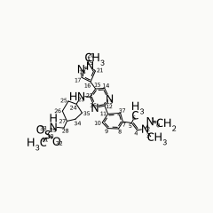 C=NN(C)/C=C(\C)c1cccc(-c2ncc(-c3cnn(C)c3)c(NC3CCC(CNS(C)(=O)=O)CC3)n2)c1